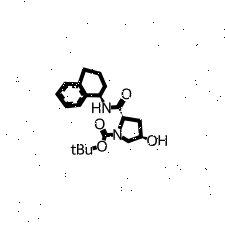 CC(C)(C)OC(=O)N1C[C@H](O)C[C@H]1C(=O)N[C@@H]1CCCc2ccccc21